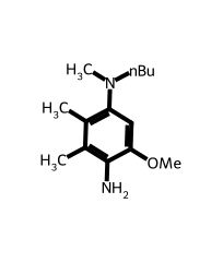 CCCCN(C)c1cc(OC)c(N)c(C)c1C